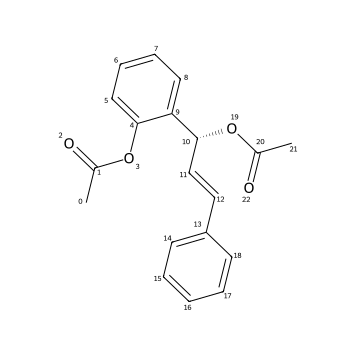 CC(=O)Oc1ccccc1[C@@H](/C=C/c1ccccc1)OC(C)=O